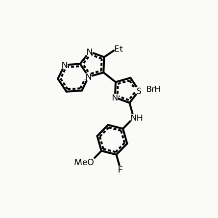 Br.CCc1nc2ncccn2c1-c1csc(Nc2ccc(OC)c(F)c2)n1